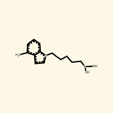 Nc1cccc2c1ccn2CCCCCB(O)O